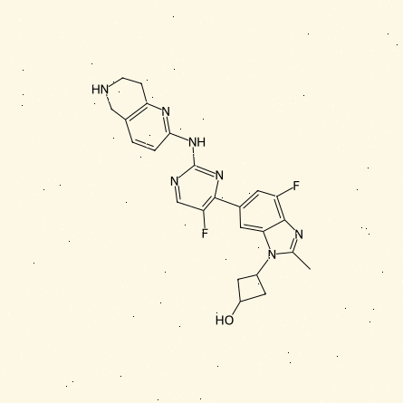 Cc1nc2c(F)cc(-c3nc(Nc4ccc5c(n4)CCNC5)ncc3F)cc2n1C1CC(O)C1